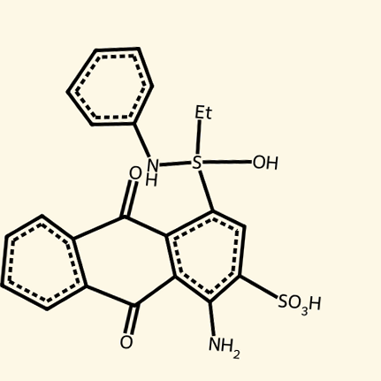 CCS(O)(Nc1ccccc1)c1cc(S(=O)(=O)O)c(N)c2c1C(=O)c1ccccc1C2=O